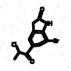 CC(Cl)C(=O)c1cc(Br)c2c(c1)CC(=O)N2